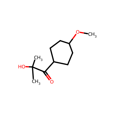 COC1CCC(C(=O)C(C)(C)O)CC1